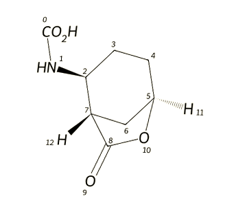 O=C(O)N[C@H]1CC[C@@H]2C[C@@H]1C(=O)O2